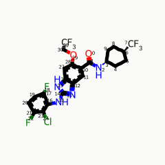 O=C(N[C@H]1CC[C@H](C(F)(F)F)CC1)c1cc2nc(Nc3c(F)ccc(F)c3Cl)[nH]c2cc1OCC(F)(F)F